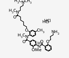 COc1cc(C(=O)N(C)c2ccc(C)cc2OCCCCCC(=O)N(C)CCCN(C)C)ccc1NC(=O)c1ccccc1OCCCN.Cl.Cl